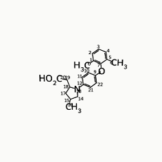 Cc1cccc(C)c1Oc1ccc(N2CC(C)CC2CC(=O)O)cc1